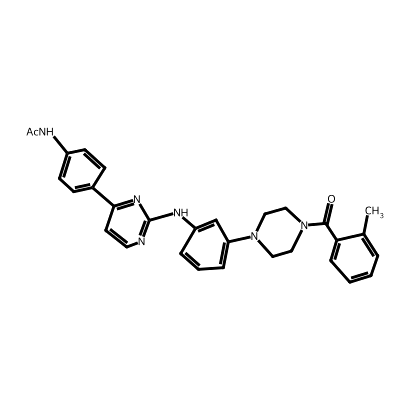 CC(=O)Nc1ccc(-c2ccnc(Nc3cccc(N4CCN(C(=O)c5ccccc5C)CC4)c3)n2)cc1